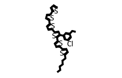 CCCCCCc1ccc(-c2ccc(-c3sc(-c4ccc(-c5ccc(-c6cccs6)s5)s4)cc3-c3cc(Cl)cc(CC)c3)s2)s1